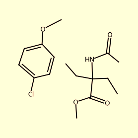 CCC(CC)(NC(C)=O)C(=O)OC.COc1ccc(Cl)cc1